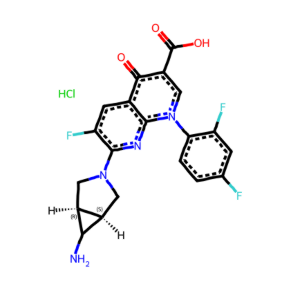 Cl.NC1[C@H]2CN(c3nc4c(cc3F)c(=O)c(C(=O)O)cn4-c3ccc(F)cc3F)C[C@@H]12